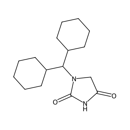 O=C1CN(C(C2CCCCC2)C2CCCCC2)C(=O)N1